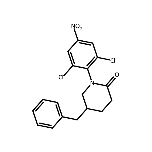 O=C1CCC(Cc2ccccc2)CN1c1c(Cl)cc([N+](=O)[O-])cc1Cl